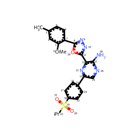 COc1cc(C)ccc1-c1nnc(-c2nc(-c3ccc(S(=O)(=O)C(C)C)cc3)cnc2N)o1